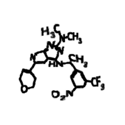 C[C@@H](Nc1nc(N(C)C)nc2cnc(C3=CCOCC3)cc12)c1cc([N+](=O)[O-])cc(C(F)(F)F)c1